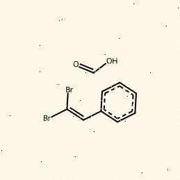 BrC(Br)=Cc1ccccc1.O=CO